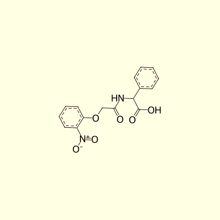 O=C(COc1ccccc1[N+](=O)[O-])NC(C(=O)O)c1ccccc1